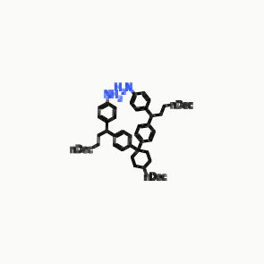 CCCCCCCCCCCCC(c1ccc(N)cc1)c1ccc(C2(c3ccc(C(CCCCCCCCCCCC)c4ccc(N)cc4)cc3)CCC(CCCCCCCCCC)CC2)cc1